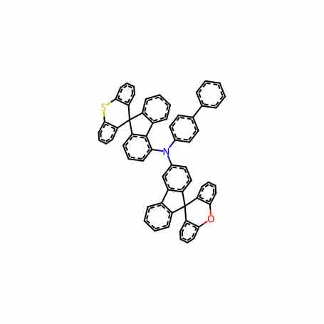 c1ccc(-c2ccc(N(c3ccc4c(c3)-c3ccccc3C43c4ccccc4Oc4ccccc43)c3cccc4c3-c3ccccc3C43c4ccccc4Sc4ccccc43)cc2)cc1